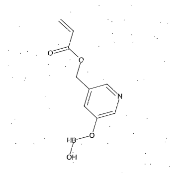 C=CC(=O)OCc1cncc(OBO)c1